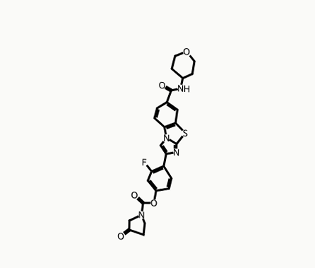 O=C1CCN(C(=O)Oc2ccc(-c3cn4c(n3)sc3cc(C(=O)NC5CCOCC5)ccc34)c(F)c2)C1